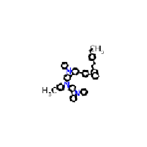 C=Cc1ccc(CCC2CC3CCCC(c4ccc(-c5ccc6c(c5)c5cc(N(c7ccc(C)cc7)c7ccc8c(c7)c7ccccc7n8-c7ccccc7)ccc5n6-c5ccccc5)cc4)(C3)C2)cc1